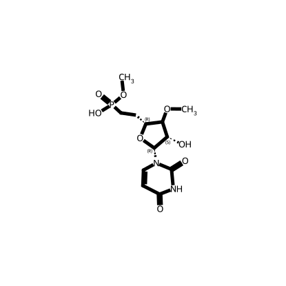 COC1[C@@H](CCP(=O)(O)OC)O[C@@H](n2ccc(=O)[nH]c2=O)[C@H]1O